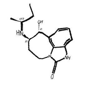 CC[C@H](C)N[C@@H]1CCn2c(=O)[nH]c3cccc(c32)[C@H]1O